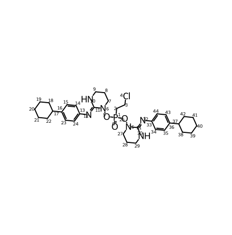 O=P(CCCl)(ON1CCCNC1=Nc1ccc(C2CCCCC2)cc1)ON1CCCNC1=Nc1ccc(C2CCCCC2)cc1